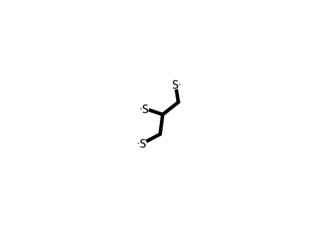 [S]CC([S])C[S]